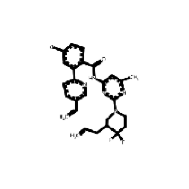 C=CCC1CN(c2nc(C)cc(NC(=O)c3ccc(Cl)cc3-c3ccc(C=C)cn3)n2)CCC1(F)F